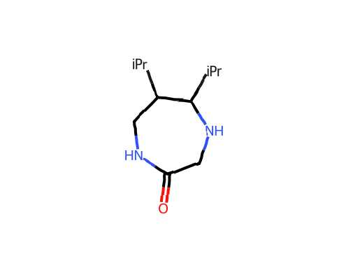 CC(C)C1CNC(=O)CNC1C(C)C